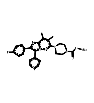 Cc1c(N2CCN(C(=O)OC(C)(C)C)CC2)nn2c(-c3ccncc3)c(-c3ccc(F)cc3)nc2c1C